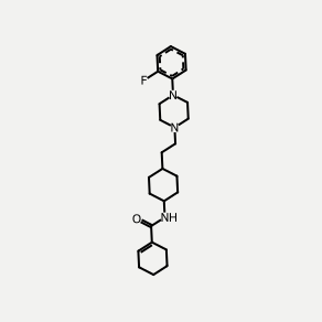 O=C(NC1CCC(CCN2CCN(c3ccccc3F)CC2)CC1)C1=CCCCC1